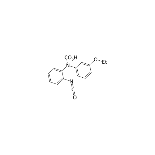 CCOc1cccc(N(C(=O)O)c2ccccc2N=C=O)c1